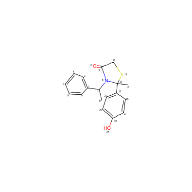 CC(c1ccccc1)N1C(=O)CSC1(C)c1ccc(O)cc1